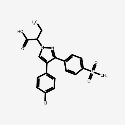 CCC(C(=O)O)n1cc(-c2ccc(Cl)cc2)c(-c2ccc(S(C)(=O)=O)cc2)n1